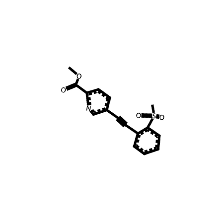 COC(=O)c1ccc(C#Cc2ccccc2S(C)(=O)=O)cn1